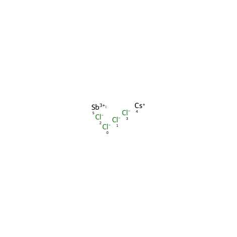 [Cl-].[Cl-].[Cl-].[Cl-].[Cs+].[Sb+3]